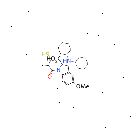 C1CCC(NC2CCCCC2)CC1.COc1ccc2c(c1)CC(C(=O)O)N2C(=O)C(C)CS